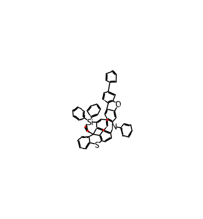 c1ccc(-c2ccc3c(c2)oc2cc(N(c4ccccc4)c4ccc5c(c4)C4(c6ccccc6S5)c5ccccc5[Si](c5ccccc5)(c5ccccc5)c5ccccc54)ccc23)cc1